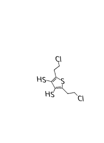 Sc1c(CCCl)sc(CCCl)c1S